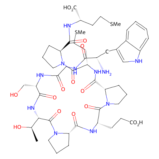 CSCC[C@H](NC(=O)[C@@H]1CCCN1C(=O)[C@H](CCSC)NC(=O)[C@@H]1CCCN1C(=O)[C@H](CCC(=O)O)NC(=O)[C@@H]1CCCN1C(=O)[C@@H](NC(=O)[C@H](CO)NC(=O)CNC(=O)[C@@H](N)Cc1c[nH]c2ccccc12)[C@@H](C)O)C(=O)O